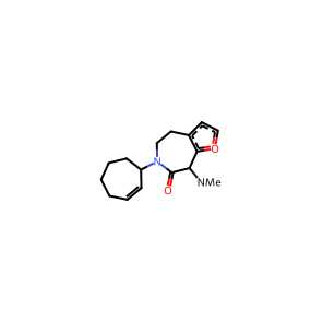 CNC1C(=O)N(C2C=CCCCC2)CCc2ccoc21